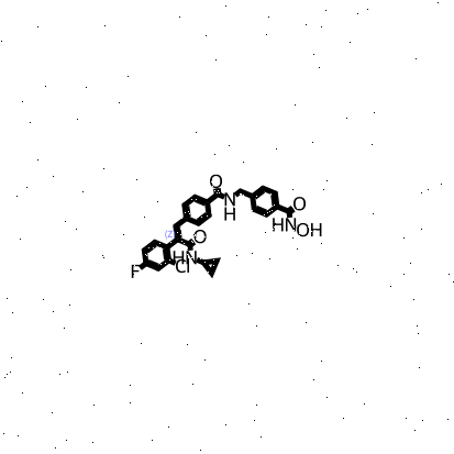 O=C(NC1CC1)/C(=C\c1ccc(C(=O)NCc2ccc(C(=O)NO)cc2)cc1)c1ccc(F)cc1Cl